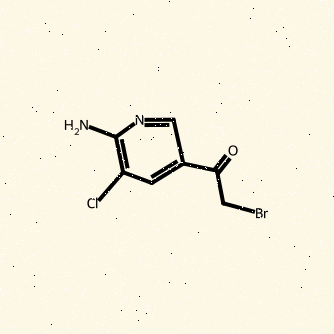 Nc1ncc(C(=O)CBr)cc1Cl